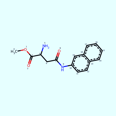 COC(=O)C(N)CC(=O)Nc1ccc2ccccc2c1